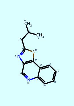 CC(C)Cc1nc2cnc3ccccc3c2s1